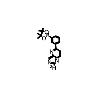 [2H]c1ncc2nc(-c3cccc(B4OC(C)(C)C(C)(C)O4)c3)ccc2n1